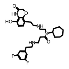 O=C1COc2c(CCNCCN(C(=O)CCNCCc3cc(F)cc(F)c3)C3CCCCCC3)ccc(O)c2N1